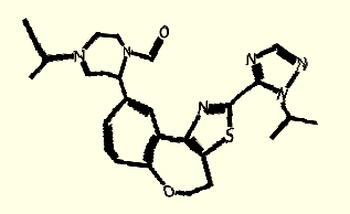 CC(C)N1CCN(C=O)C(c2ccc3c(c2)-c2nc(-c4ncnn4C(C)C)sc2CCO3)C1